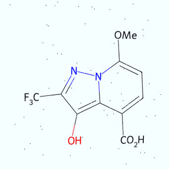 COc1ccc(C(=O)O)c2c(O)c(C(F)(F)F)nn12